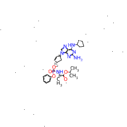 CC(C)OC(=O)[C@H](C)N[P@](=O)(OC[C@@H]1C=C[C@H](n2cnc3c(NC4CCCC4)nc(N)nc32)C1)Oc1ccccc1